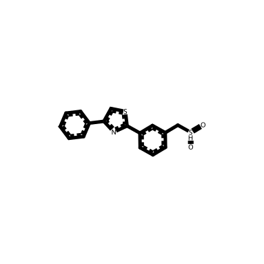 O=[SH](=O)Cc1cccc(-c2nc(-c3cc[c]cc3)cs2)c1